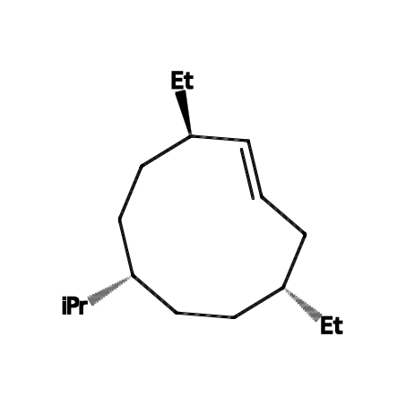 CC[C@H]1/C=C/C[C@H](CC)CC[C@H](C(C)C)CC1